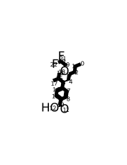 CCCC(C[C@@H](c1ccc(C(=O)O)cc1)C(C)C)OCC(F)F